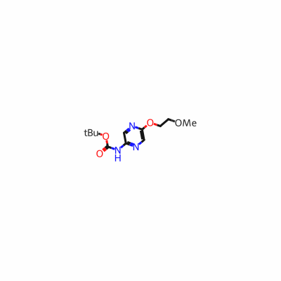 COCCOc1cnc(NC(=O)OC(C)(C)C)cn1